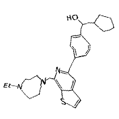 CCN1CCN(c2nc(-c3ccc(C(O)C4CCCC4)cc3)cc3ccsc23)CC1